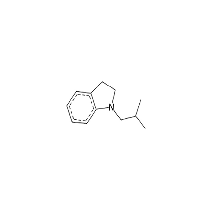 CC(C)CN1CCc2ccccc21